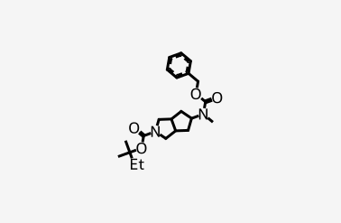 CCC(C)(C)OC(=O)N1CC2CC(N(C)C(=O)OCc3ccccc3)CC2C1